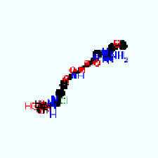 Nc1ncnc2c1c(-c1ccc(Oc3ccccc3)cc1)nn2[C@@H]1CCCN(C(=O)CCOCCOCCC(=O)NCCOc2ccc(-c3ccc(-c4nc5nc(O[C@@H]6CO[C@H]7[C@@H]6OC[C@H]7O)[nH]c5cc4Cl)cc3)cc2)C1